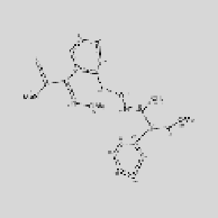 CNC(=O)/C(=N/OC)c1ccccc1CO/N=C(C)/C(=N\OC)c1ccccc1